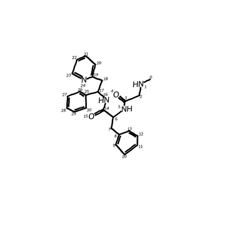 CNCC(=O)NC(Cc1ccccc1)C(=O)NC(Cc1ccccn1)c1ccccc1